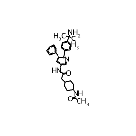 CC(=O)NC1CCC(CC(=O)Nc2cnc(-c3ccc(C(C)(C)N)cc3)c(-c3ccccc3)c2)CC1